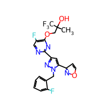 CC(O)(COc1nc(-c2cc(-c3ccon3)n(Cc3ccccc3F)n2)ncc1F)C(F)(F)F